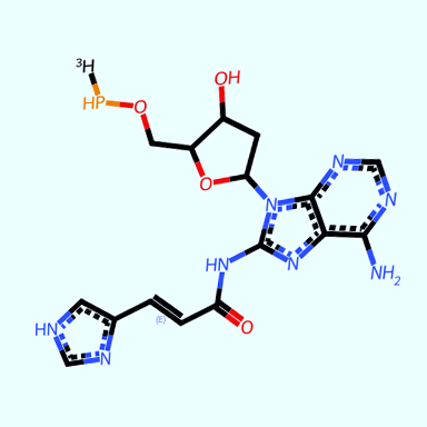 [3H]POCC1OC(n2c(NC(=O)/C=C/c3c[nH]cn3)nc3c(N)ncnc32)CC1O